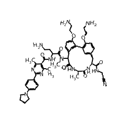 Cc1nc(-c2ccc(N3CCCC3)cc2)nc(C)c1C(=O)NC(CCN)C(=O)N(C)C1C(=O)NC(C)C(=O)NC(C(=O)NCC#N)Cc2ccc(OCCN)c(c2)-c2cc1ccc2OCCN